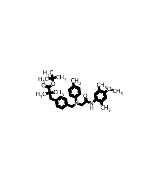 COc1cc(C)c(NC(=O)CN(Cc2ccc(CC(C)(C)C(=O)OC(C)(C)C)cc2)c2ccc(C)cc2)cc1C